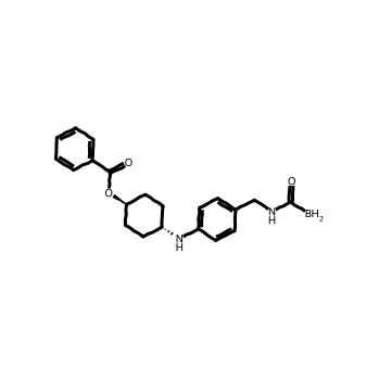 BC(=O)NCc1ccc(N[C@H]2CC[C@H](OC(=O)c3ccccc3)CC2)cc1